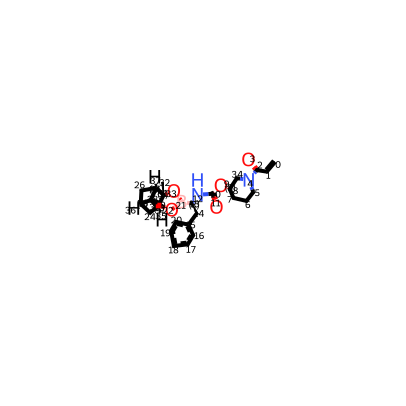 C=CC(=O)N1CCC[C@H](OC(=O)N[C@@H](Cc2ccccc2)B2O[C@@H]3C[C@@H]4C[C@@H](C4(C)C)[C@]3(C)O2)C1